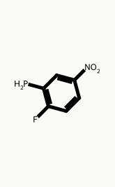 O=[N+]([O-])c1ccc(F)c(P)c1